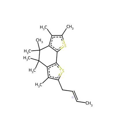 C/C=C/Cc1sc2c(c1C)C(C)(C)C(C)(C)c1c-2sc(C)c1C